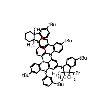 CCCC1(C)c2cc(C(C)(C)C)ccc2N(c2cc3c4c(c2)N(c2ccc(C(C)(C)C)cc2C2=C=C=CC=C2)c2cc(N5c6ccc(C(C)(C)C)cc6C6(C)CCCCC56C)ccc2B4c2ccc(C(C)(C)C)cc2N3c2cccc(C(C)(C)C)c2)C1(C)C